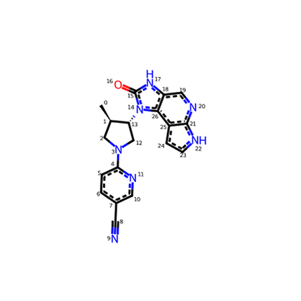 C[C@@H]1CN(c2ccc(C#N)cn2)C[C@H]1n1c(=O)[nH]c2cnc3[nH]ccc3c21